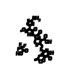 C=C(Cl)Cn1c(SCC2=C(C(=O)O)N3C(=O)C(NC(=O)C(=NOC)c4csc(N)n4)C3CS2)n[nH]c(=O)c1=O.O=C(O)C(F)(F)F